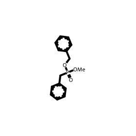 COP(=O)(Cc1ccccc1)OCc1ccccc1